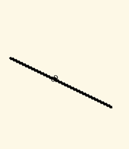 CCCCCCCCCCCCCCCCCCCCCCCCCCCCCCCCCCCCCCC(=O)OCCCCCCCCCCCCCCCCCCCCCCCCCCCCC